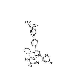 CN=[SH]1(O)CCN(c2ccc(-c3cn(-c4ccc(F)cn4)nc3[C@@H]3CCCC[C@H]3C(=O)NC3(C#N)CC3)cc2)CC1